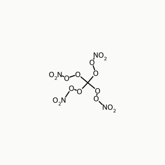 O=[N+]([O-])OOC(OO[N+](=O)[O-])(OO[N+](=O)[O-])OO[N+](=O)[O-]